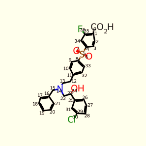 O=C(O)c1ccc(S(=O)(=O)c2ccc(CCN(Cc3ccccc3)C[C@H](O)c3cccc(Cl)c3)cc2)cc1F